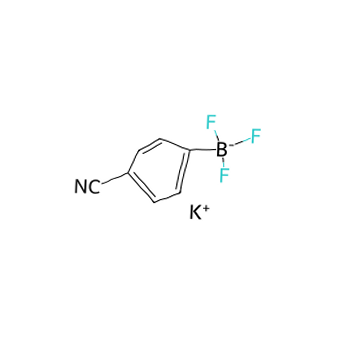 N#Cc1ccc([B-](F)(F)F)cc1.[K+]